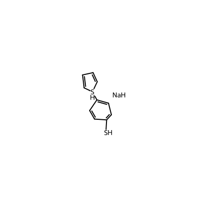 Sc1ccc([SH]2C=CC=C2)cc1.[NaH]